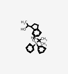 CC(O)C1CCc2ccc(O[Si](c3ccccc3)(c3ccccc3)C(C)(C)C)cc21